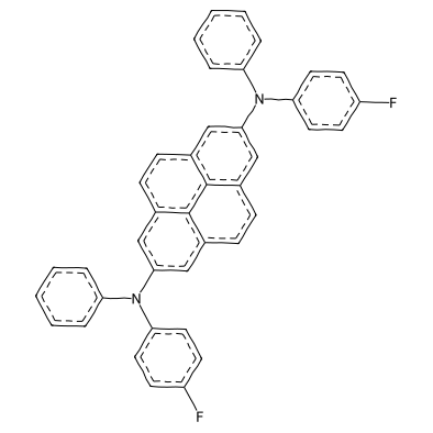 Fc1ccc(N(c2ccccc2)c2cc3ccc4cc(N(c5ccccc5)c5ccc(F)cc5)cc5ccc(c2)c3c45)cc1